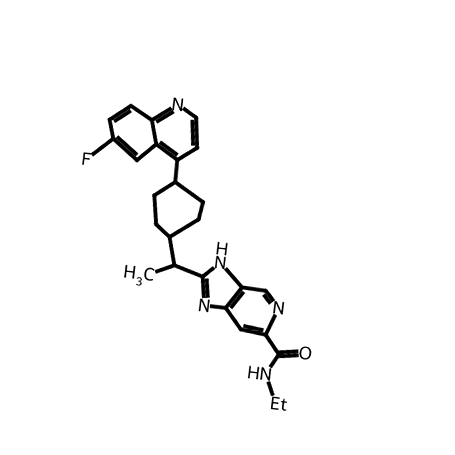 CCNC(=O)c1cc2nc(C(C)C3CCC(c4ccnc5ccc(F)cc45)CC3)[nH]c2cn1